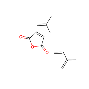 C=C(C)C.C=CC(=C)C.O=C1C=CC(=O)O1